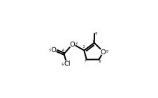 CC1=C(OC(=O)Cl)CCO1